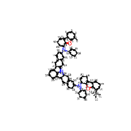 Cc1cccc2c1oc1c(N(c3ccccc3)c3ccc4cc5c6cccc7c8cc9ccc(N(c%10ccccc%10)c%10cccc%11c%10oc%10c([Si](C)(C)C)cccc%10%11)cc9cc8n(c5cc4c3)c67)cccc12